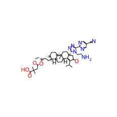 CC[C@H](CC[C@@]1(C)[C@H](C)CC[C@]2(C)[C@@H]1CC[C@@H]1C3=C(C(C)C)C(=O)C[C@]3(c3nnc(-c4ncc(C#N)cn4)n3CCN)CC[C@]12C)OC(=O)CC(C)(C)C(=O)O